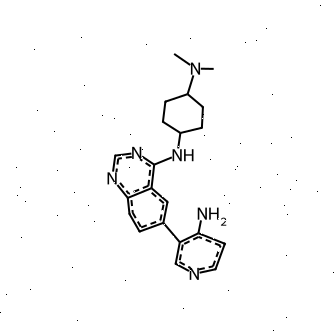 CN(C)C1CCC(Nc2ncnc3ccc(-c4cnccc4N)cc23)CC1